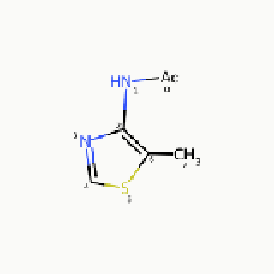 CC(=O)Nc1ncsc1C